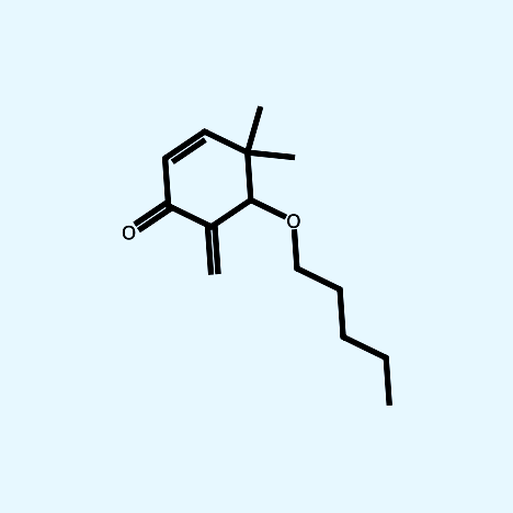 C=C1C(=O)C=CC(C)(C)C1OCCCCC